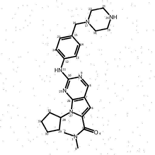 CN(C)C(=O)c1cc2cnc(Nc3ccc(CN4CCNCC4)cc3)nc2n1C1CCCC1